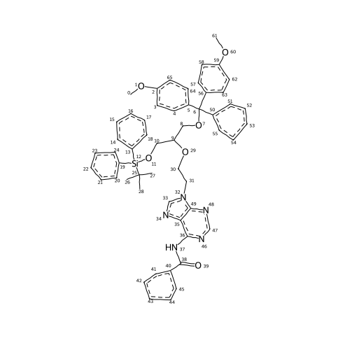 COc1ccc(C(OCC(CO[Si](c2ccccc2)(c2ccccc2)C(C)(C)C)OCCn2cnc3c(NC(=O)c4ccccc4)ncnc32)(c2ccccc2)c2ccc(OC)cc2)cc1